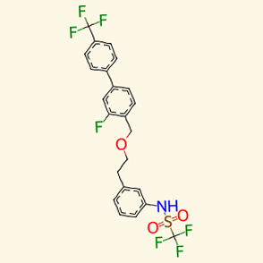 O=S(=O)(Nc1cccc(CCOCc2ccc(-c3ccc(C(F)(F)F)cc3)cc2F)c1)C(F)(F)F